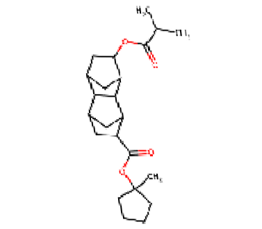 CC(C)C(=O)OC1CC2CC1C1C3CC(CC3C(=O)OC3(C)CCCC3)C21